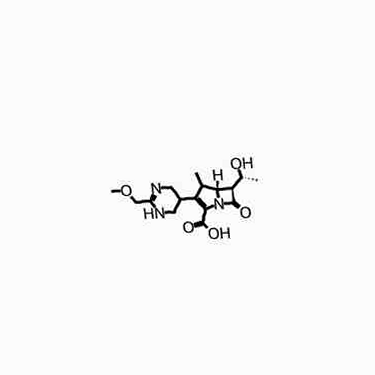 COCC1=NCC(C2=C(C(=O)O)N3C(=O)[C@H]([C@@H](C)O)[C@H]3C2C)CN1